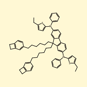 CCc1ccc(N(c2ccccc2)c2ccc3c(c2)C(CCCCCCc2ccc4c(c2)CC4)(CCCCCCc2ccc4c(c2)CC4)c2cc(N(c4ccccc4)c4ccc(CC)s4)ccc2-3)s1